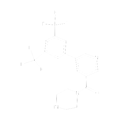 O=C(c1cncc(-c2cc(C(F)(F)F)cc(C(F)(F)F)c2)c1)N1CCNCC1